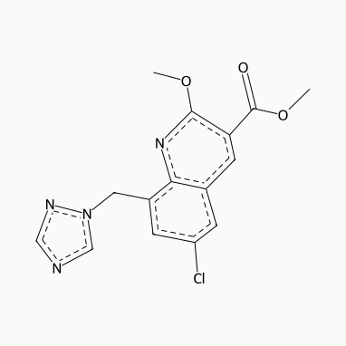 COC(=O)c1cc2cc(Cl)cc(Cn3cncn3)c2nc1OC